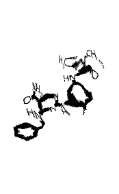 CN(C)C(=O)Nc1ccc(F)c(Nc2ncc(C(N)=O)c(NCc3ccccc3)n2)c1